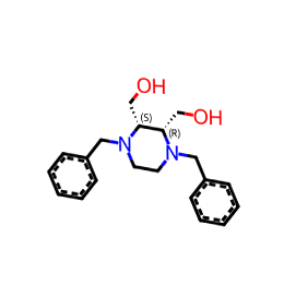 OC[C@@H]1[C@H](CO)N(Cc2ccccc2)CCN1Cc1ccccc1